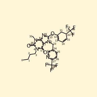 CCCCn1c(=O)c2c(nc(OC3=CC=CC(C(F)(F)F)C3)n2Cc2ccc(C(F)(F)F)nc2)n(C)c1=O